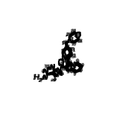 CC(c1cc2ccccn2c1-c1ccc(CN2CCOCC2)cn1)n1nc(I)c2c(N)ncnc21